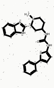 CN1CCC(NC(=O)Nc2ccc(-c3ccccc3)s2)C[C@@H]1c1nc2ccccc2[nH]1